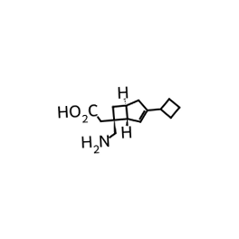 NC[C@@]1(CC(=O)O)C[C@H]2CC(C3CCC3)=C[C@@H]21